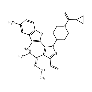 CN/N=C(/NC)c1c(C=O)nn(C2CCN(C(=O)C3CC3)CC2)c1-c1oc2ccc(C)cc2c1C